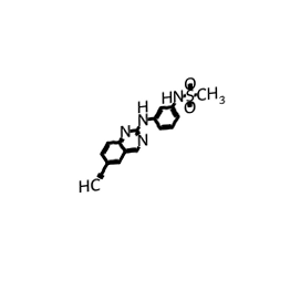 C#Cc1ccc2nc(Nc3cccc(NS(C)(=O)=O)c3)ncc2c1